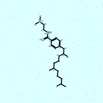 CC(C)CCCC(C)CCCC(C)Cc1ccc(C(=O)NCCN(C)C)cc1